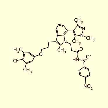 Cc1cc(OCCCc2c(C)n(CCC(=O)N[S+]([O-])c3ccc([N+](=O)[O-])cc3)c3c(-c4c(C)nn(C)c4C)cccc23)cc(C)c1Cl